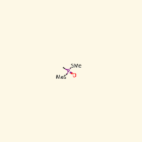 CSP(C)(=O)SC